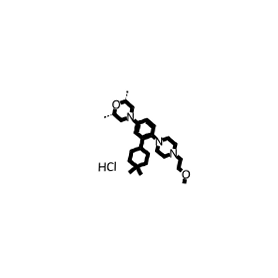 COCCN1CCN(c2ccc(N3C[C@@H](C)O[C@@H](C)C3)cc2C2CCC(C)(C)CC2)CC1.Cl